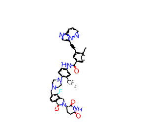 Cc1ccc(C(=O)Nc2ccc(N3CCN(Cc4ccc5c(c4F)CN(C4CCC(=O)NC4=O)C5=O)CC3)c(C(F)(F)F)c2)cc1C#Cc1cnc2cccnn12